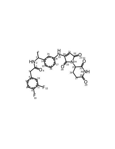 CC(NC(=O)Cc1ccc(F)c(F)c1)c1cccc(NC2=CC(=O)N(C3CCC(=O)NC3=O)C2=O)c1